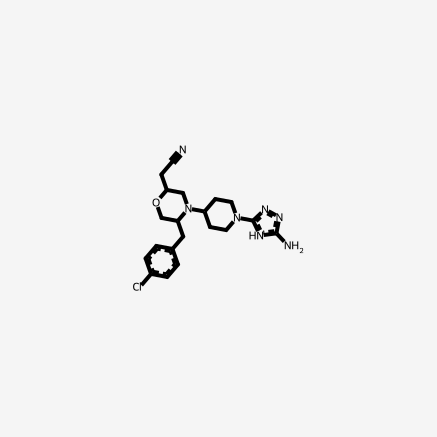 N#CCC1CN(C2CCN(c3nnc(N)[nH]3)CC2)C(Cc2ccc(Cl)cc2)CO1